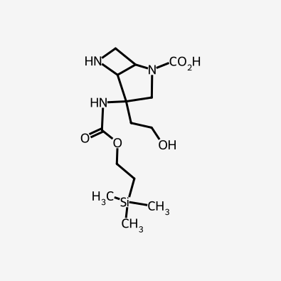 C[Si](C)(C)CCOC(=O)NC1(CCO)CN(C(=O)O)C2CNC21